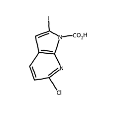 O=C(O)n1c(I)cc2ccc(Cl)nc21